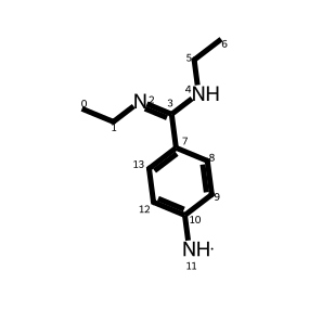 CC/N=C(/NCC)c1ccc([NH])cc1